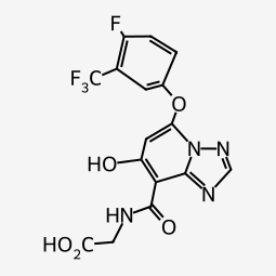 O=C(O)CNC(=O)c1c(O)cc(Oc2ccc(F)c(C(F)(F)F)c2)n2ncnc12